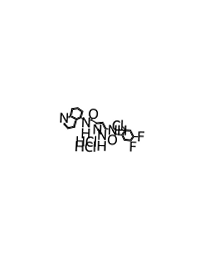 Cl.Cl.O=C(Nc1cccc2ncccc12)c1cc(NC(=O)c2cc(F)c(F)cc2Cl)[nH]n1